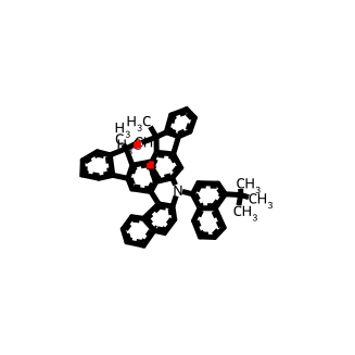 CC(C)(C)c1ccc(N(c2ccc3c(c2)-c2ccccc2C3(C)C)c2ccc3ccccc3c2-c2ccc3c(c2)-c2ccccc2C3(C)C)c2ccccc12